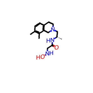 Cc1ccc2c(c1C)CN(C[C@H](C)NC(=O)CNO)CC2